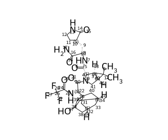 CC1(C)[C@@H]2[C@@H](C(=O)N[C@@H](C[C@@H]3CCNC3=O)C(N)=O)N(C(=O)[C@@H](NC(=O)C(F)(F)F)C34C[C@@H]5C[C@@H](CC(O)(C5)C3)C4)C[C@@H]21